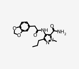 CCCc1nn(C)c(C(N)=O)c1NC(=O)Cc1ccc2c(c1)OCO2